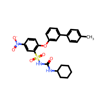 Cc1ccc(-c2cccc(Oc3ccc([N+](=O)[O-])cc3S(=O)(=O)NC(=O)NC3CCCCC3)c2)cc1